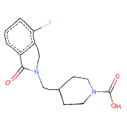 O=C(O)N1CCC(CN2Cc3c(F)cccc3C2=O)CC1